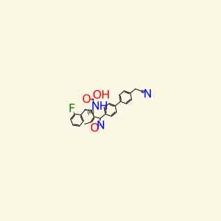 Cc1onc(-c2ccc(-c3ccc(CC#N)cc3)cc2)c1[C@@H](Cc1ccccc1F)NC(=O)O